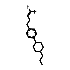 CCCC1CCC(c2ccc(CCC=C(F)F)cc2)CC1